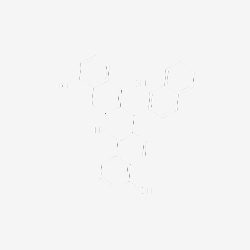 Oc1cccc2c(O)c(C(c3ccc4ccccc4c3)c3ccc4c(O)cccc4c3O)ccc12